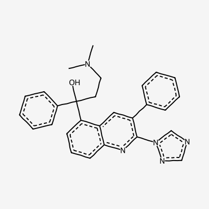 CN(C)CCC(O)(c1ccccc1)c1cccc2nc(-n3cncn3)c(-c3ccccc3)cc12